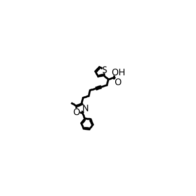 Cc1oc(-c2ccccc2)nc1CCCC#CCC(C(=O)O)c1cccs1